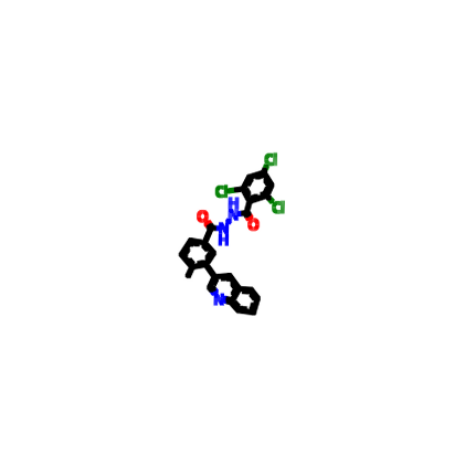 Cc1ccc(C(=O)NNC(=O)c2c(Cl)cc(Cl)cc2Cl)cc1-c1cnc2ccccc2c1